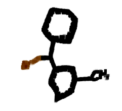 Cc1cccc(C(Br)c2ccccc2)c1